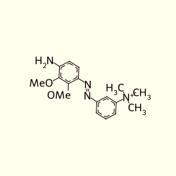 COc1c(N)ccc(N=Nc2cccc([N+](C)(C)C)c2)c1OC